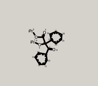 CC(C)OC(=O)C(OC(C)C)(C(=O)c1ccccc1)c1ccccc1